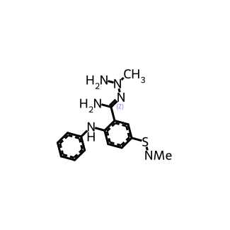 CNSc1ccc(Nc2ccccc2)c(/C(N)=N/N(C)N)c1